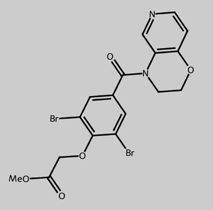 COC(=O)COc1c(Br)cc(C(=O)N2CCOc3ccncc32)cc1Br